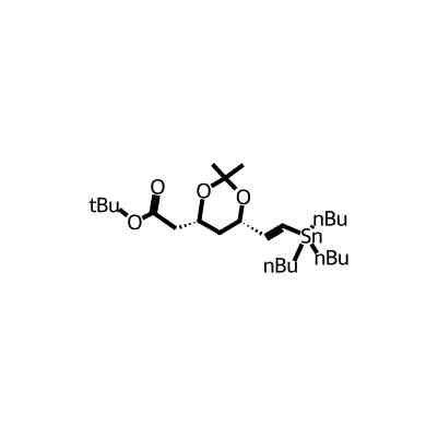 CCC[CH2][Sn](/[CH]=C/[C@@H]1C[C@H](CC(=O)OC(C)(C)C)OC(C)(C)O1)([CH2]CCC)[CH2]CCC